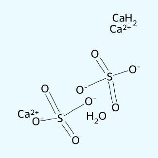 O.O=S(=O)([O-])[O-].O=S(=O)([O-])[O-].[Ca+2].[Ca+2].[CaH2]